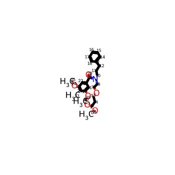 COC(=O)CCOCCN(CCCc1ccccc1)C(=O)c1cc(OC)c(C)c(OC)c1